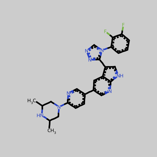 CC1CN(c2ccc(-c3cnc4[nH]cc(-c5nncn5-c5cccc(F)c5F)c4c3)cn2)CC(C)N1